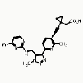 Cc1nc(-c2nnn(C)c2CNc2nccc(C(C)C)n2)ccc1C#CC1(CC(=O)O)CC1